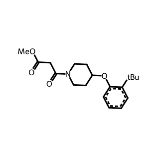 COC(=O)CC(=O)N1CCC(Oc2ccccc2C(C)(C)C)CC1